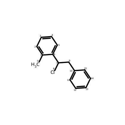 Cc1ccccc1[C](Cl)Cc1ccccc1